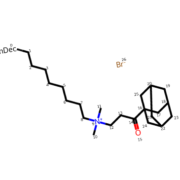 CCCCCCCCCCCCCCCCCC[N+](C)(C)CCC(=O)C12CC3CC(CC(C3)C1)C2.[Br-]